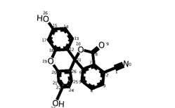 N#Cc1cccc2c1C(=O)OC21c2ccc(O)cc2Oc2cc(O)ccc21